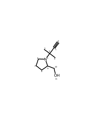 C#CC(C)(C)N1CCCC1CO